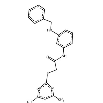 Cc1cc(C)nc(SCC(=O)Nc2cccc(NCc3ccccc3)c2)n1